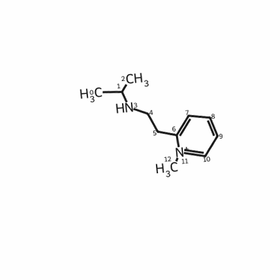 CC(C)NCCc1cccc[n+]1C